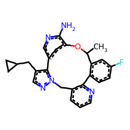 CC1Oc2cc(cnc2N)-c2c(CC3CC3)cnn2Cc2cccnc2-c2ccc(F)cc21